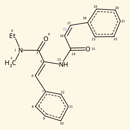 CCN(C)C(=O)C(=Cc1ccccc1)NC(=O)/C=C\c1ccccc1